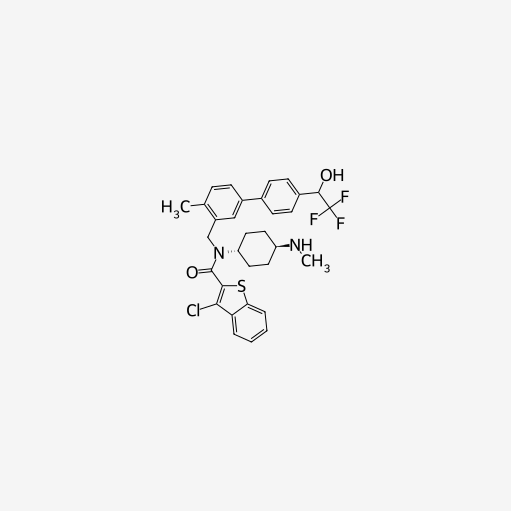 CN[C@H]1CC[C@H](N(Cc2cc(-c3ccc(C(O)C(F)(F)F)cc3)ccc2C)C(=O)c2sc3ccccc3c2Cl)CC1